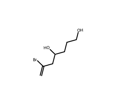 C=C(Br)CC(O)CCCO